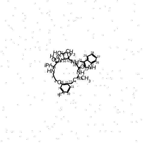 CC(C)[C@@H]1NCCOc2cc(F)ccc2CC[C@@H](C)NC(=O)[C@@H](Cc2c[nH]c3ccccc23)NC(=O)[C@H](C(C)O)N(C)C1=O